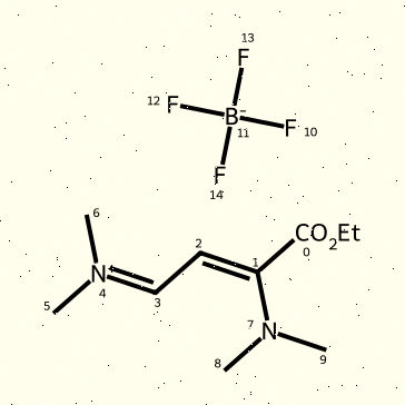 CCOC(=O)C(=CC=[N+](C)C)N(C)C.F[B-](F)(F)F